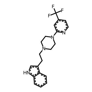 FC(F)(F)c1ccnc(N2CCN(CCc3c[nH]c4ccccc34)CC2)c1